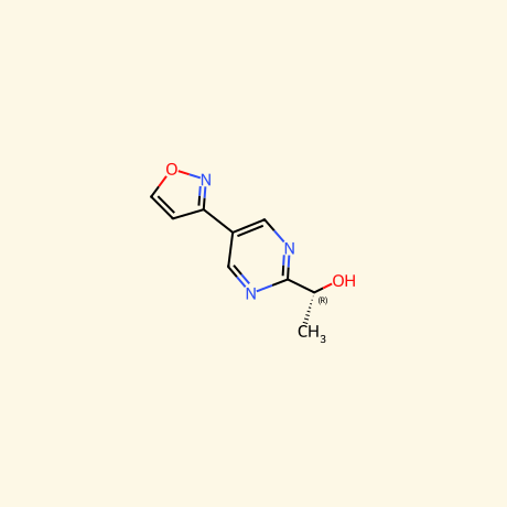 C[C@@H](O)c1ncc(-c2ccon2)cn1